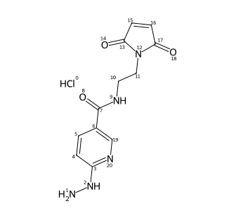 Cl.NNc1ccc(C(=O)NCCN2C(=O)C=CC2=O)cn1